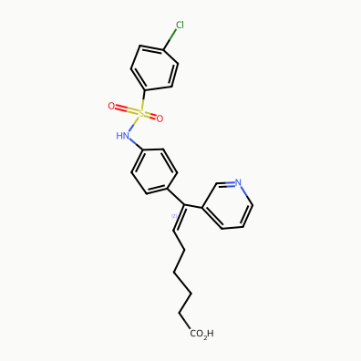 O=C(O)CCCC/C=C(/c1ccc(NS(=O)(=O)c2ccc(Cl)cc2)cc1)c1cccnc1